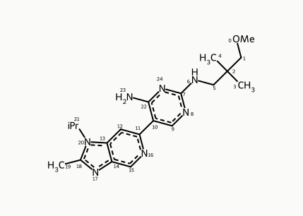 COCC(C)(C)CNc1ncc(-c2cc3c(cn2)nc(C)n3C(C)C)c(N)n1